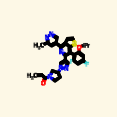 C=CC(=O)N1CCC(n2cc(-c3nc(-c4cnnc(C)c4)c4ccsc4c3-c3c(F)cc(F)cc3OC(C)C)cn2)C1